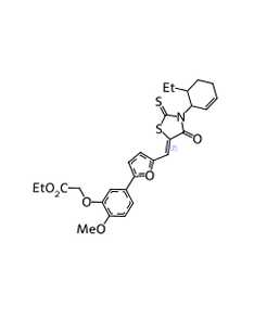 CCOC(=O)COc1cc(-c2ccc(/C=C3\SC(=S)N(C4C=CCCC4CC)C3=O)o2)ccc1OC